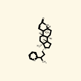 CC(CC[C@H]1CC[C@H]2[C@@H]3CC[C@H]4NC(=O)C=C[C@]4(C)[C@H]3CC[C@]12C)c1ccccn1